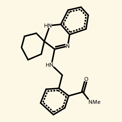 CNC(=O)c1ccccc1CNC1=Nc2ccccc2NC12CCCCC2